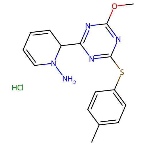 COc1nc(Sc2ccc(C)cc2)nc(C2C=CC=CN2N)n1.Cl